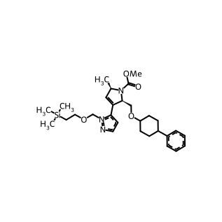 COC(=O)N1[C@H](C)C=C(c2ccnn2COCC[Si](C)(C)C)[C@@H]1COC1CCC(c2ccccc2)CC1